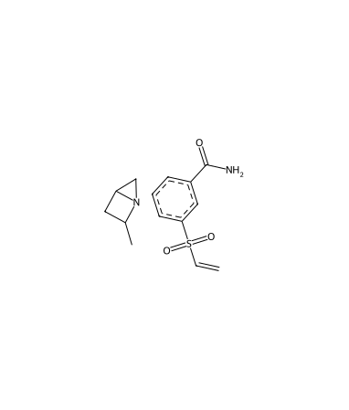 C=CS(=O)(=O)c1cccc(C(N)=O)c1.CC1CC2CN12